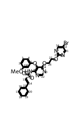 COc1cccc(Oc2c(NS(=O)(=O)C=Cc3ccccc3)ncnc2OCCOc2ncc(Br)cn2)c1